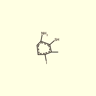 Cc1c(I)ccc(N)c1S